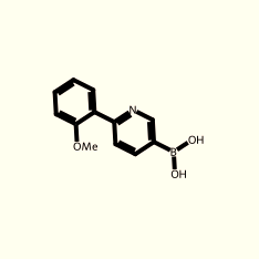 COc1ccccc1-c1ccc(B(O)O)cn1